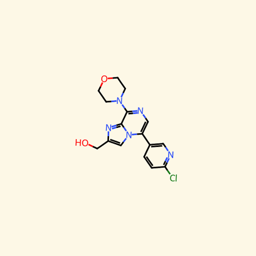 OCc1cn2c(-c3ccc(Cl)nc3)cnc(N3CCOCC3)c2n1